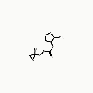 CCC1(OOC(=O)OC2COSC2C)CO1